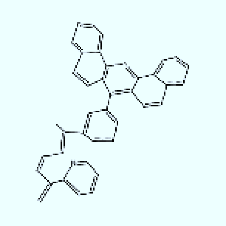 C=C(/C=C\C=C(/C)c1cccc(-c2c3ccc4ccccc4c3nc3c2ccc2ccccc23)c1)c1ccccn1